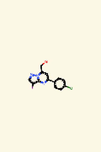 OCc1cc(-c2ccc(Cl)cc2)nc2c(I)cnn12